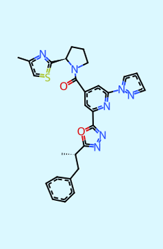 Cc1csc([C@H]2CCCN2C(=O)c2cc(-c3nnc([C@@H](C)Cc4ccccc4)o3)nc(-n3cccn3)c2)n1